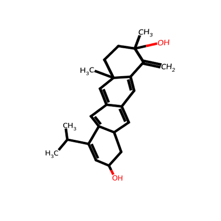 C=C1C2=CC3=CC4CC(O)C=C(C(C)C)C4=CC3=CC2(C)CCC1(C)O